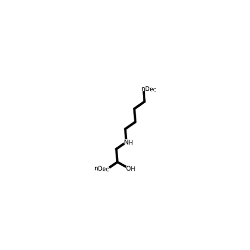 CCCCCCCCCCCCCCNCC(O)CCCCCCCCCC